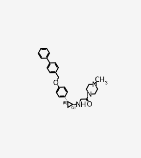 CN1CCN(C(=O)CN[C@H]2C[C@@H]2c2ccc(OCc3ccc(-c4ccccc4)cc3)cc2)CC1